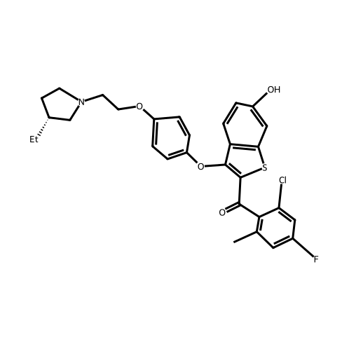 CC[C@@H]1CCN(CCOc2ccc(Oc3c(C(=O)c4c(C)cc(F)cc4Cl)sc4cc(O)ccc34)cc2)C1